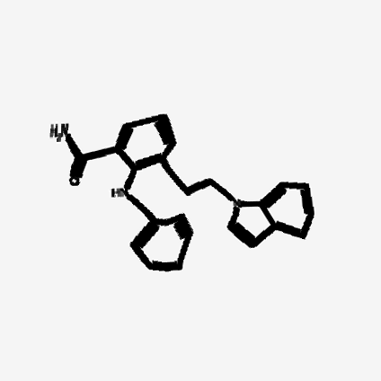 NC(=O)c1cccc(CCn2ccc3ccccc32)c1Nc1ccccc1